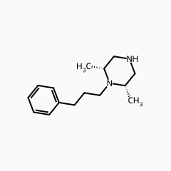 C[C@@H]1CNC[C@H](C)N1CCCc1ccccc1